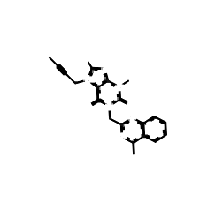 Bc1nc2c(c(=O)n(Cc3nc(C)c4ccccc4n3)c(=O)n2C)n1CC#CC